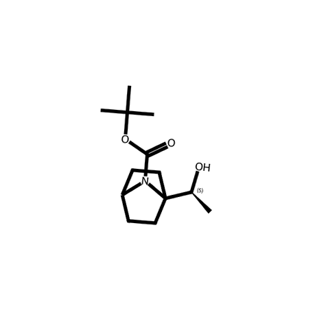 C[C@H](O)C12CCC(CC1)N2C(=O)OC(C)(C)C